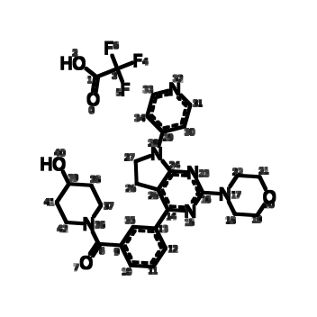 O=C(O)C(F)(F)F.O=C(c1cccc(-c2nc(N3CCOCC3)nc3c2CCN3c2ccncc2)c1)N1CCC(O)CC1